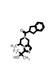 CC1CN(C(=O)C2Cc3ccccc3C2)Cc2cnc(C(C)(O)C(F)(F)F)n21